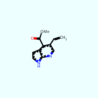 C=Cc1cnc2[nH]ccc2c1C(=O)OC